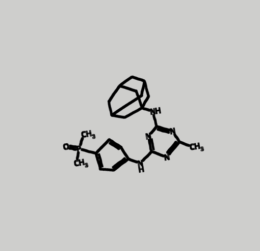 Cc1nc(Nc2ccc(P(C)(C)=O)cc2)nc(NC23CC4CC(CC(C4)C2)C3)n1